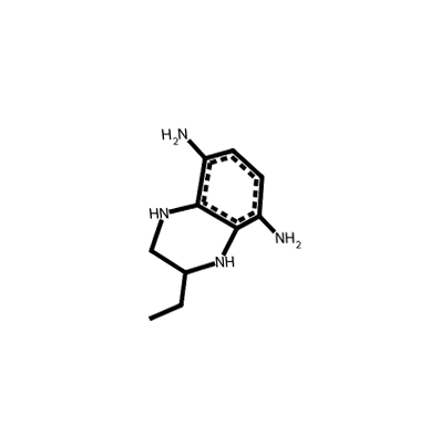 CCC1CNc2c(N)ccc(N)c2N1